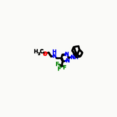 COCCNCc1cnc(NC23CC4CC(CC(C4)C2)C3)nc1C(F)(F)F